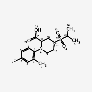 Cc1cc(F)ccc1N1CCN(S(=O)(=O)C(C)C)CC1C(=O)O